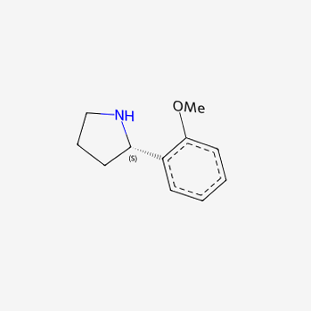 COc1ccccc1[C@@H]1CCCN1